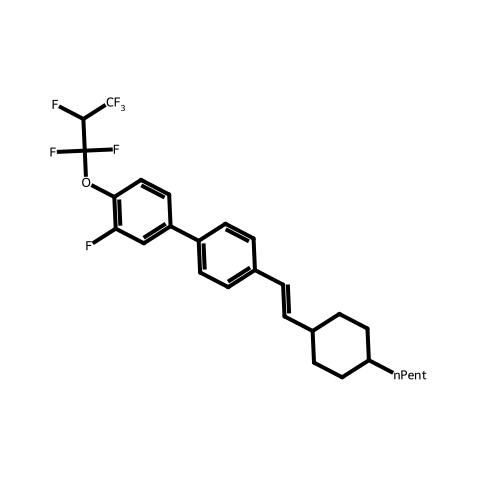 CCCCCC1CCC(C=Cc2ccc(-c3ccc(OC(F)(F)C(F)C(F)(F)F)c(F)c3)cc2)CC1